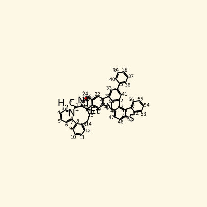 C=C1[n+]2ccccc2-c2ccccc2CCC2(CC)c3cc4c(cc3-c3cccc5[n+]3C12C5)c1cc(-c2ccccc2)cc2c3c5c(ccc3n4c12)sc1ccccc15